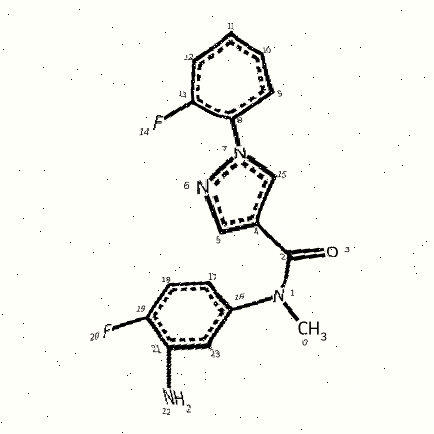 CN(C(=O)c1cnn(-c2ccccc2F)c1)c1ccc(F)c(N)c1